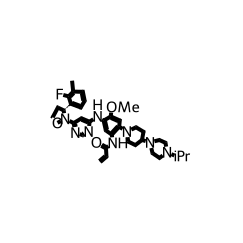 C=CC(=O)Nc1cc(Nc2cc(N3OCC[C@@H]3c3cccc(C)c3F)ncn2)c(OC)cc1N1CCC(N2CCN(C(C)C)CC2)CC1